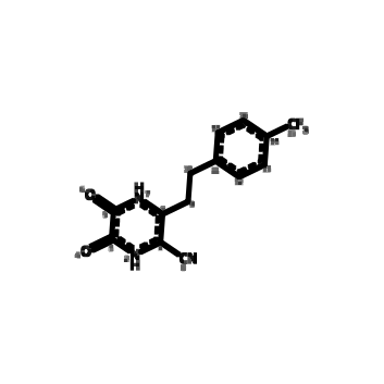 N#Cc1[nH]c(=O)c(=O)[nH]c1CCc1ccc(C(F)(F)F)cc1